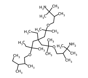 CCC(C)C(C)COC(C)(CC)CC(CC)(CC(C)(C)OCC(C)C(C)(C)N)CC(C)(C)OCC(C)C(C)(C)N